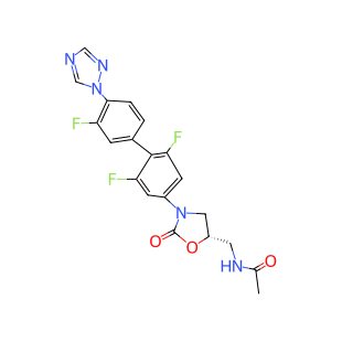 CC(=O)NC[C@H]1CN(c2cc(F)c(-c3ccc(-n4cncn4)c(F)c3)c(F)c2)C(=O)O1